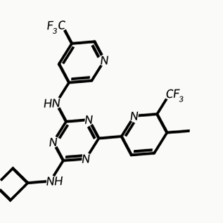 CC1C=CC(c2nc(Nc3cncc(C(F)(F)F)c3)nc(NC3COC3)n2)=NC1C(F)(F)F